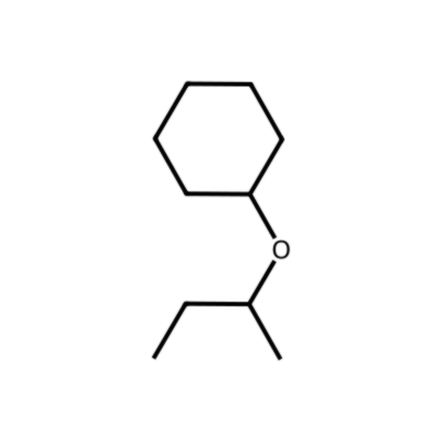 CCC(C)OC1CCCCC1